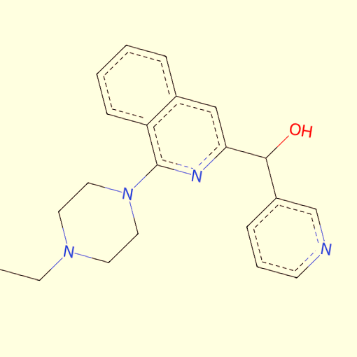 CCN1CCN(c2nc(C(O)c3cccnc3)cc3ccccc23)CC1